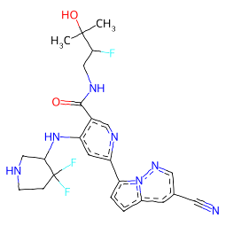 CC(C)(O)C(F)CNC(=O)c1cnc(-c2ccc3cc(C#N)cnn23)cc1NC1CNCCC1(F)F